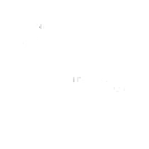 CC(C)(C)OC(NCc1ccc(C(N)=S)cc1)=C1CCC1